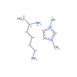 CCC[n+]1ccn(C)c1.NCCCCC(N)C(=O)O